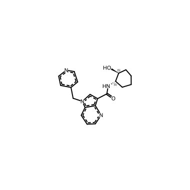 O=C(N[C@H]1CCCC[C@@H]1O)c1cn(Cc2ccncc2)c2cccnc12